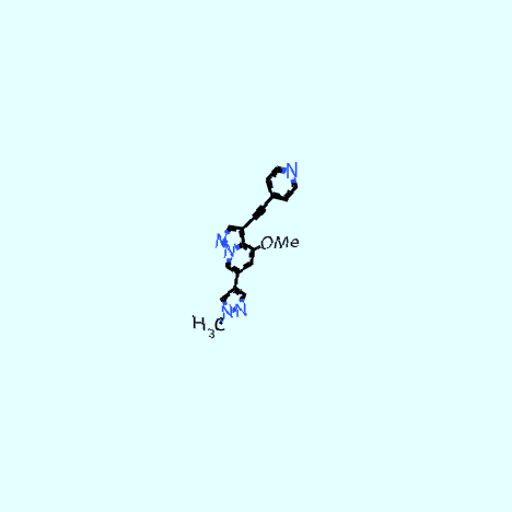 COc1cc(-c2cnn(C)c2)cn2ncc(C#Cc3ccncc3)c12